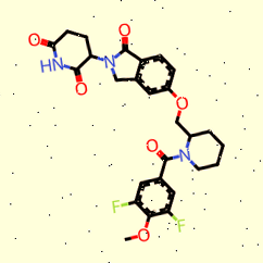 COc1c(F)cc(C(=O)N2CCCCC2COc2ccc3c(c2)CN(C2CCC(=O)NC2=O)C3=O)cc1F